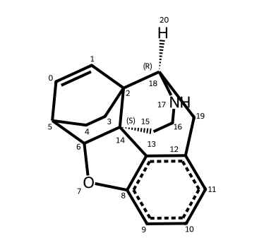 C1=CC23CCC1C1Oc4cccc5c4[C@@]12CCN[C@@H]3C5